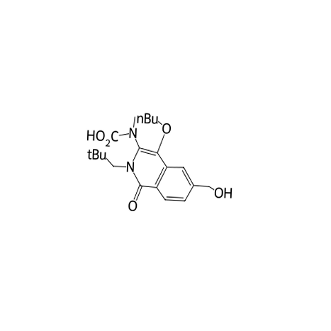 CCCCOc1c(N(C)C(=O)O)n(CC(C)(C)C)c(=O)c2ccc(CO)cc12